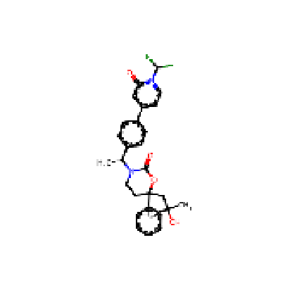 C[C@@H](c1ccc(-c2ccn(C(F)F)c(=O)c2)cc1)N1CCC(CC(C)(C)O)(c2ccccc2)OC1=O